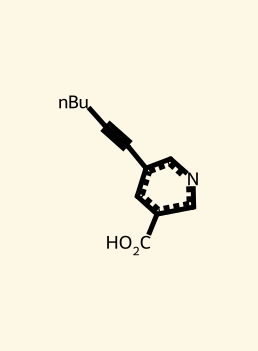 CCCCC#Cc1cncc(C(=O)O)c1